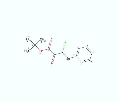 CC(C)(C)OC(=O)C(=O)C(Cl)[Se]c1ccccc1